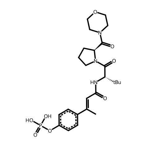 C/C(=C\C(=O)N[C@H](C(=O)N1CCC[C@H]1C(=O)N1CCOCC1)C(C)(C)C)c1ccc(OP(=O)(O)O)cc1